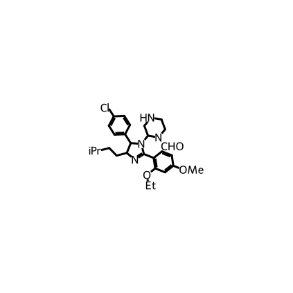 CCOc1cc(OC)ccc1C1=NC(CCC(C)C)C(c2ccc(Cl)cc2)N1C1CNCCN1C=O